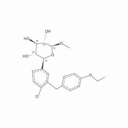 CCOc1ccc(Cc2cc([C@@H]3O[C@H](OC)[C@@H](O)[C@H](O)[C@H]3O)ccc2Cl)cc1